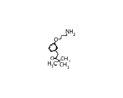 CC(C)(C)C(=O)Cc1cccc(OCCCN)c1